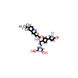 CC(C)(C)[C@H]1CCc2nc3sc(C(=O)NC(CCN(CCO)CCO)c4ccc(-c5ccc(=O)[nH]c5)cc4)cc3cc2C1